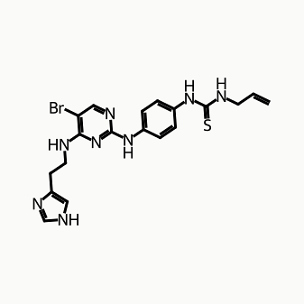 C=CCNC(=S)Nc1ccc(Nc2ncc(Br)c(NCCc3c[nH]cn3)n2)cc1